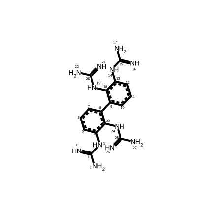 N=C(N)Nc1cccc(-c2cccc(NC(=N)N)c2NC(=N)N)c1NC(=N)N